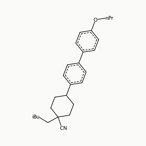 CCCOc1ccc(-c2ccc(C3CCC(C#N)(CC(C)CC)CC3)cc2)cc1